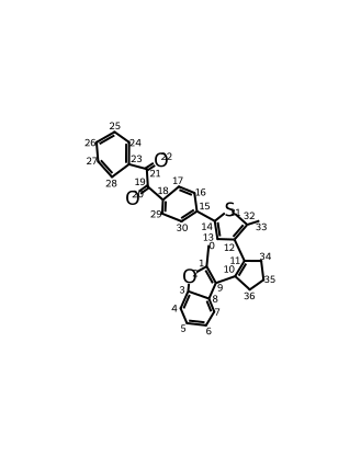 Cc1oc2ccccc2c1C1=C(c2cc(-c3ccc(C(=O)C(=O)c4ccccc4)cc3)sc2C)CCC1